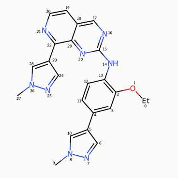 CCOc1cc(-c2cnn(C)c2)ccc1Nc1ncc2ccnc(-c3cnn(C)c3)c2n1